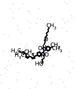 CCCCCCCOCCCN1C(=O)/C(=C2/C(=O)N(CCCO)c3cc(-c4ccc(-c5ccc(C(C)(C)CCC)s5)s4)ccc32)c2ccc(C(C)C)cc21